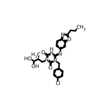 CCCc1nc2ccc(/N=c3\[nH]c(=O)n(C[C@H](C)C(O)O)c(=O)n3Cc3ccc(Cl)cc3)cc2o1